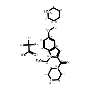 O=C(O)C(F)(F)F.O=C(c1cc2cc(OC[C@H]3CCCNC3)ccc2n1CC(F)(F)F)N1CCOCC1